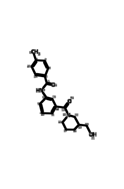 Cc1ccc(C(=O)Nc2c[c]cc(C(=O)N3CCCC(CO)C3)c2)cc1